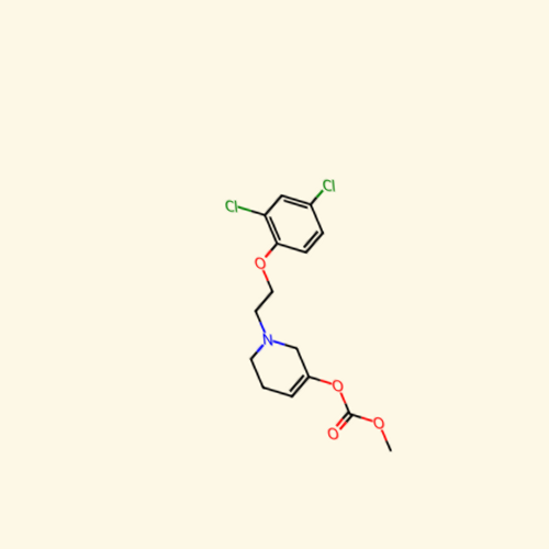 COC(=O)OC1=CCCN(CCOc2ccc(Cl)cc2Cl)C1